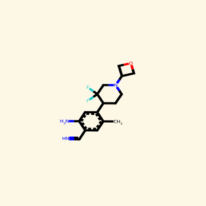 Cc1cc(C=N)c(N)cc1C1CCN(C2COC2)CC1(F)F